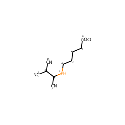 CCCCCCCCCCCCPC(C#N)C(C#N)C#N